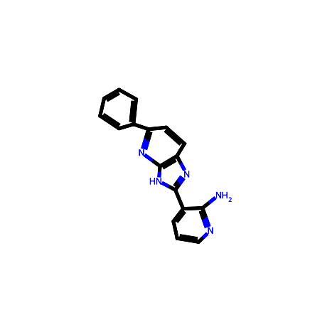 Nc1ncccc1-c1nc2ccc(-c3ccccc3)nc2[nH]1